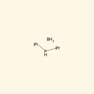 B.CC(C)PC(C)C